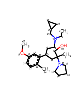 CCN(CCC(CC(C)(CO)N1CCCC1)c1cc(OC)ccc1C)CC1CC1